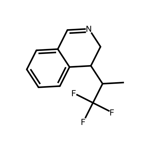 CC(C1CN=Cc2ccccc21)C(F)(F)F